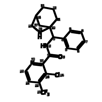 O=C(NC(c1ccccc1)C12CCCC(CN1)C2)c1nccc(C(F)(F)F)c1Cl